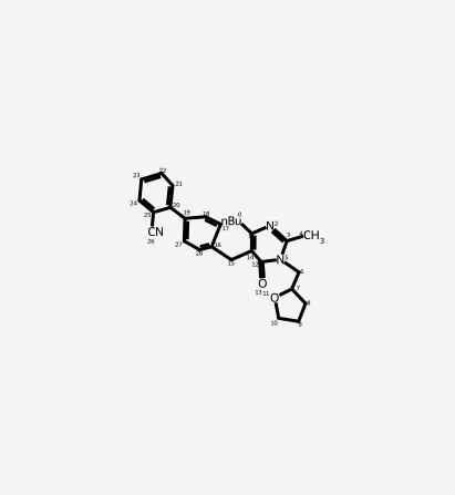 CCCCc1nc(C)n(CC2CCCO2)c(=O)c1Cc1ccc(-c2ccccc2C#N)cc1